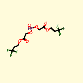 O=C(CO[PH](=O)OCC(=O)OCCC(F)(F)F)OCCC(F)(F)F